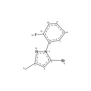 Cc1cc(Br)n(-c2ccccc2F)n1